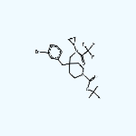 CC(C)(C)OC(=O)N1CCC(Cc2cccc(Br)c2)(CN(C(=O)C(F)(F)F)C2CC2)CC1